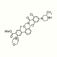 COC(=O)c1cc(F)c(-c2cccc3c2OCN(C(=O)c2c(Cl)cc(N4CCNC(C)C4)cc2Cl)C3)cc1N1C2CCC1COC2